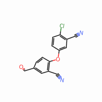 N#Cc1cc(Oc2ccc(C=O)cc2C#N)ccc1Cl